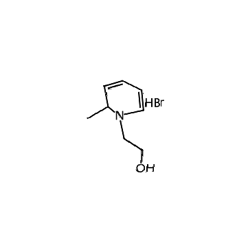 Br.CC1C=CC=CN1CCO